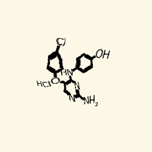 Cl.Nc1ncc(Oc2ccc(Cl)cc2)c(Nc2ccc(O)cc2)n1